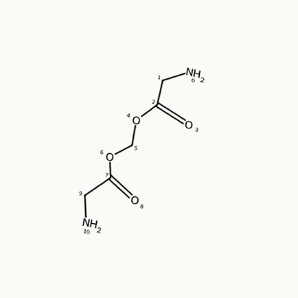 NCC(=O)OCOC(=O)CN